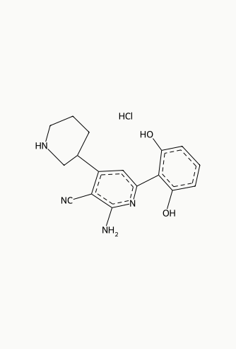 Cl.N#Cc1c(C2CCCNC2)cc(-c2c(O)cccc2O)nc1N